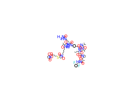 CC[C@H](C)C([C@@H](CC(=O)N1CCC[C@H]1[C@H](OC)[C@@H](C)C(=O)NCCc1c(F)cccc1F)OC)N(C)C(=O)[C@@H](NC(=O)[C@H](C(C)C)N(C)C(=O)OCc1ccc(NC(=O)[C@H](CCCNC(N)=O)NC(=O)[C@@H](NC(=O)CCCCCN2C(=O)CC(SCCCC(=O)ON3C(=O)CCC3=O)C2=O)C(C)C)cc1)C(C)C